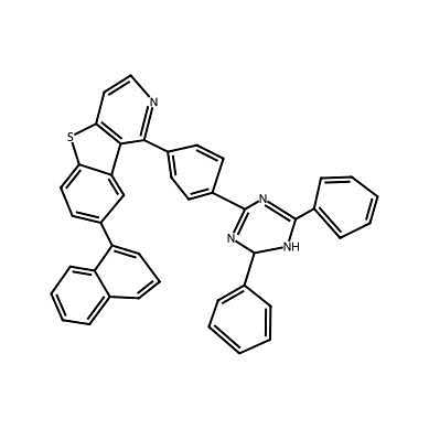 c1ccc(C2=NC(c3ccc(-c4nccc5sc6ccc(-c7cccc8ccccc78)cc6c45)cc3)=NC(c3ccccc3)N2)cc1